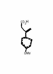 C=C(CC(=O)O)c1ccc(OC)cc1